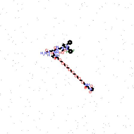 CC(C)[C@H](NC(=O)CCOCCOCCOCCOCCOCCOCCOCCOCCNC(=O)CCN1C(=O)C=CC1=O)C(=O)N[C@@H](CCCNC(N)=O)C(=O)NCCCN(C(=O)CO)[C@@H](c1nc(-c2cc(F)ccc2F)cn1Cc1ccccc1)C(C)(C)C